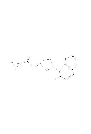 O=C(NC1CCN(c2c(Cl)ccc3c2CCO3)C1)C1CC1